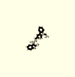 CC(C)Cn1c2ccccc2c2cc(/C=N/NC3=c4ccccc4=NC3=O)ncc21